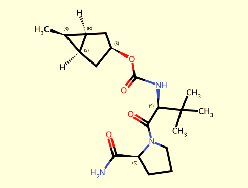 C[C@H]1[C@H]2C[C@@H](OC(=O)N[C@H](C(=O)N3CCC[C@H]3C(N)=O)C(C)(C)C)C[C@@H]12